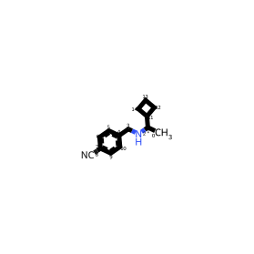 CC(NCc1ccc(C#N)cc1)C1CCC1